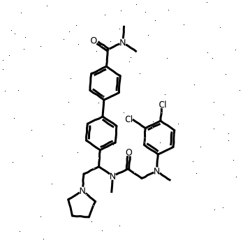 CN(C)C(=O)c1ccc(-c2ccc(C(CN3CCCC3)N(C)C(=O)CN(C)c3ccc(Cl)c(Cl)c3)cc2)cc1